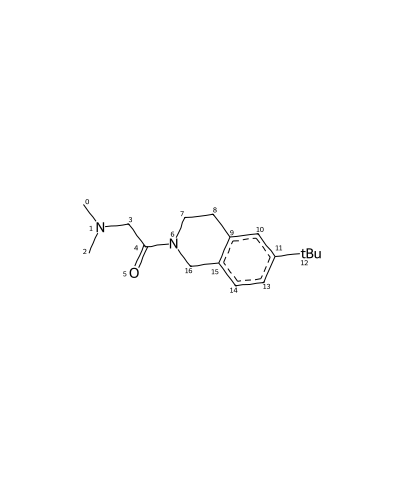 CN(C)CC(=O)N1CCc2cc(C(C)(C)C)ccc2C1